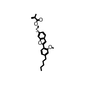 C=C(C)C(=O)OCSc1ccc2cc(-c3ccc(CCCCC)cc3OC)oc2c1